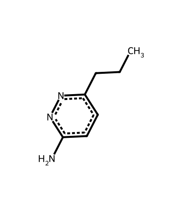 CCCc1ccc(N)nn1